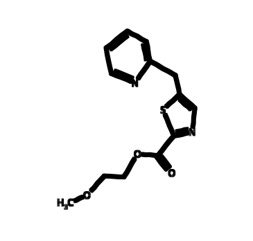 COCCOC(=O)c1ncc(Cc2ccccn2)s1